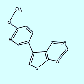 COc1ccc(-c2csc3ncn[c]c23)cn1